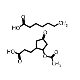 CC(=O)OC1CC(=O)CC1CCC(=O)O.CCCCCCC(=O)O